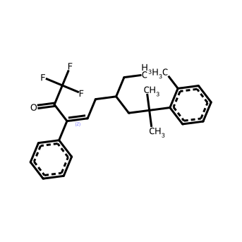 CCC(C/C=C(\C(=O)C(F)(F)F)c1ccccc1)CC(C)(C)c1ccccc1C